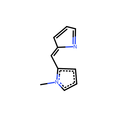 Cn1cccc1/C=C1/C=CC=N1